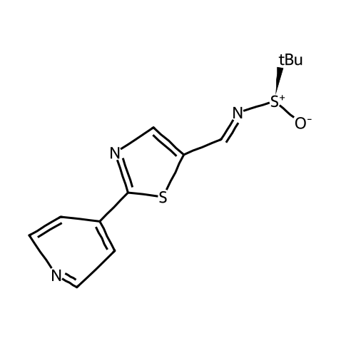 CC(C)(C)[S@@+]([O-])/N=C/c1cnc(-c2ccncc2)s1